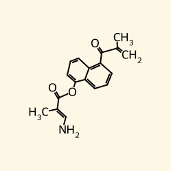 C=C(C)C(=O)c1cccc2c(OC(=O)C(C)=CN)cccc12